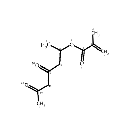 C=C(C)C(=O)OC(C)CC(=O)CC(C)=O